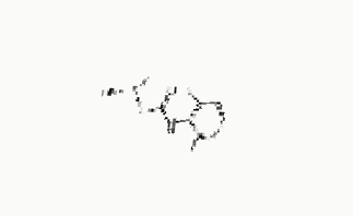 CCCN(C)CC(=O)Nc1c(C)cccc1C